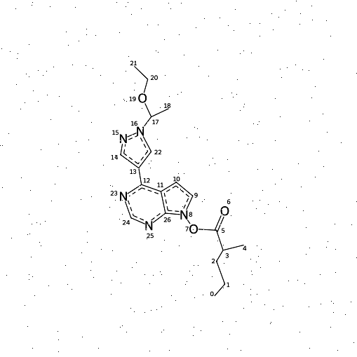 CCCC(C)C(=O)On1ccc2c(-c3cnn(C(C)OCC)c3)ncnc21